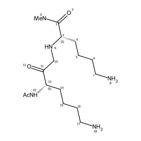 CNC(=O)[C@H](CCCCN)NCC(=O)[C@H](CCCCN)NC(C)=O